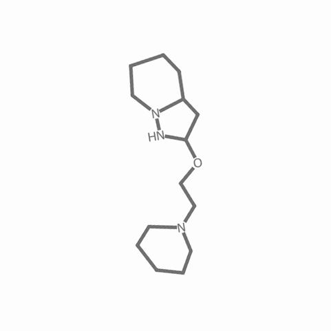 C1CCN(CCOC2CC3CCCCN3N2)CC1